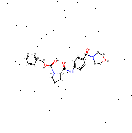 O=C(Nc1ccc(C(=O)N2CCOCC2)cc1)[C@@H]1CCCN1C(=O)OCc1ccccc1